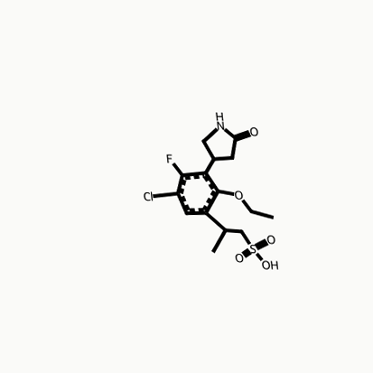 CCOc1c(C(C)CS(=O)(=O)O)cc(Cl)c(F)c1C1CNC(=O)C1